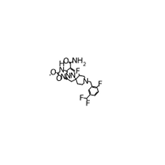 COC(=O)Nc1nn(C2(CC#N)CCN(Cc3cc(C(F)F)ccc3F)CC2F)cc1C(N)=O